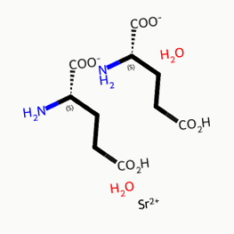 N[C@@H](CCC(=O)O)C(=O)[O-].N[C@@H](CCC(=O)O)C(=O)[O-].O.O.[Sr+2]